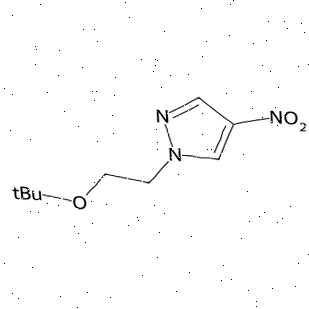 CC(C)(C)OCCn1cc([N+](=O)[O-])cn1